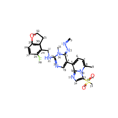 C=N/N=c1/c(-c2ccc(C)n3c(S(C)(=O)=O)cnc23)cnc(NCc2c(F)ccc3c2CCO3)n1C